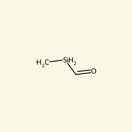 [CH2][SiH2]C=O